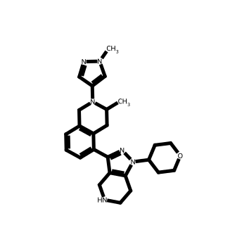 CC1Cc2c(cccc2-c2nn(C3CCOCC3)c3c2CNCC3)CN1c1cnn(C)c1